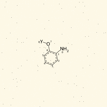 Nc1ccccc1[O][Y]